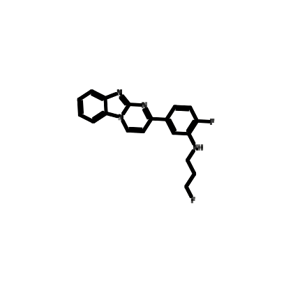 FCCCNc1cc(-c2ccn3c(n2)nc2ccccc23)ccc1F